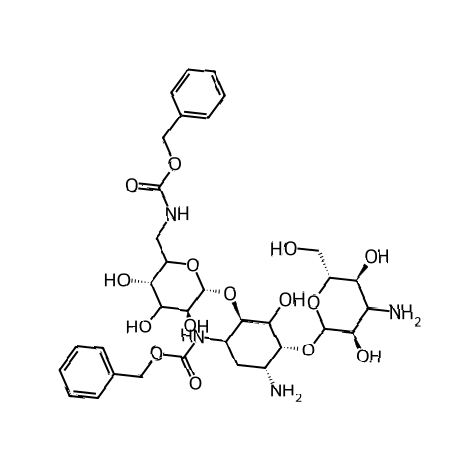 NC1[C@@H](O)C(O[C@H]2C(O)[C@H](O[C@H]3OC(CNC(=O)OCc4ccccc4)[C@@H](O)C(O)[C@@H]3O)C(NC(=O)OCc3ccccc3)C[C@H]2N)O[C@H](CO)[C@H]1O